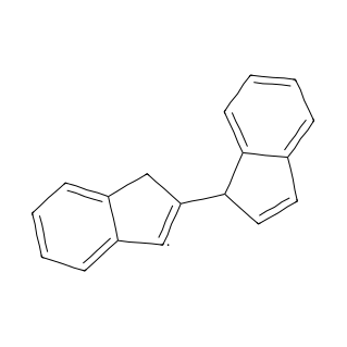 [C]1=C(C2C=Cc3ccccc32)Cc2ccccc21